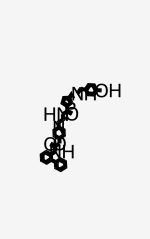 O=C(Nc1ccccc1-c1ccccc1)OC1CCN(CCNC(=O)c2ccc(CNCc3ccc(O)cc3)s2)CC1